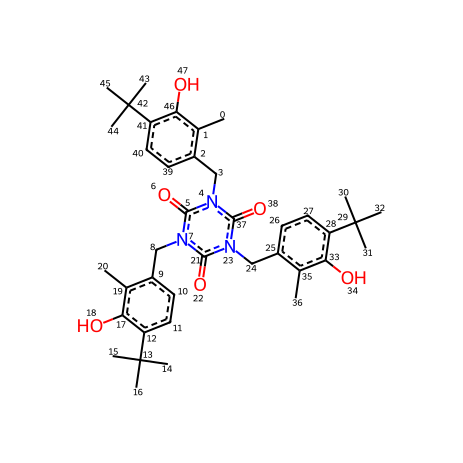 Cc1c(Cn2c(=O)n(Cc3ccc(C(C)(C)C)c(O)c3C)c(=O)n(Cc3ccc(C(C)(C)C)c(O)c3C)c2=O)ccc(C(C)(C)C)c1O